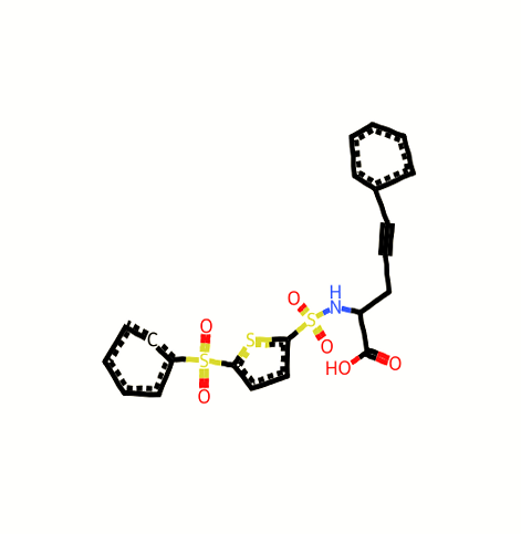 O=C(O)C(CC#Cc1ccccc1)NS(=O)(=O)c1ccc(S(=O)(=O)c2ccccc2)s1